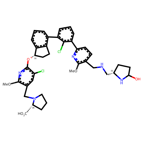 COc1nc(-c2cccc(-c3cccc4c3CC[C@@H]4Oc3nc(OC)c(CN4CCC[C@@H]4C(=O)O)cc3Cl)c2Cl)ccc1CNC[C@@H]1CCC(O)N1